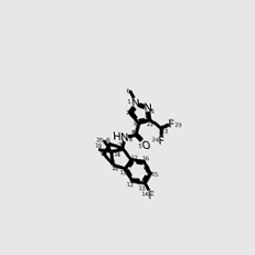 Cn1cc(C(=O)NC23CCC(c4cc(F)ccc42)C3(C)C)c(C(F)F)n1